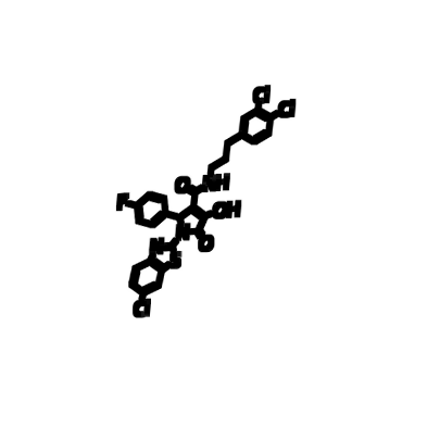 O=C(NCCCc1ccc(Cl)c(Cl)c1)C1=C(O)C(=O)N(c2nc3ccc(Cl)cc3s2)C1c1ccc(F)cc1